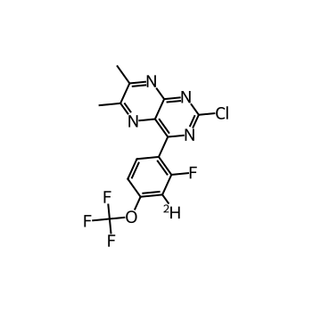 [2H]c1c(OC(F)(F)F)ccc(-c2nc(Cl)nc3nc(C)c(C)nc23)c1F